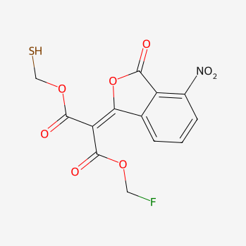 O=C(OCF)/C(C(=O)OCS)=C1/OC(=O)c2c1cccc2[N+](=O)[O-]